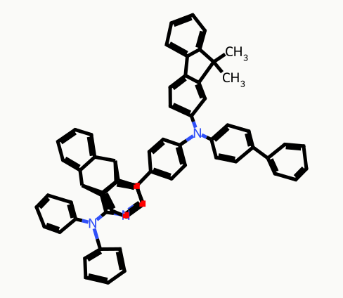 CC1(C)c2ccccc2-c2ccc(N(c3ccc(-c4ccccc4)cc3)c3ccc(-c4cnc(N(c5ccccc5)c5ccccc5)c5c4C4c6ccccc6C5c5ccccc54)cc3)cc21